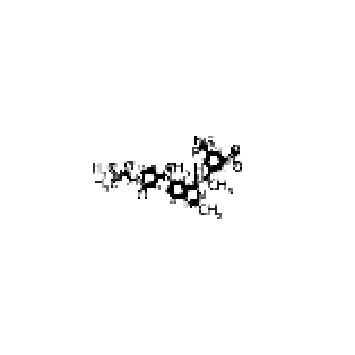 Cc1nc(N[C@H](C)c2cc([N+](=O)[O-])cc(C(F)(F)F)c2)c2cc(N(C)c3ccn(CC(=O)N(C)C)c(=O)c3)ccc2n1